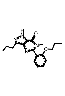 CCCOc1ccccc1-c1nc2c(CCC)n[nH]c2c(=O)n1C